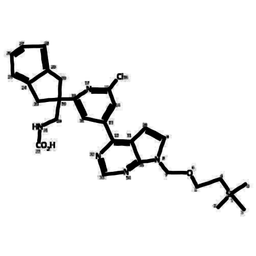 C[Si](C)(C)CCOCn1ccc2c(-c3cc(Cl)nc(C4(CNC(=O)O)Cc5ccccc5C4)c3)ncnc21